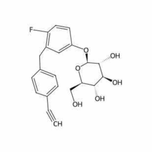 C#Cc1ccc(Cc2cc(O[C@@H]3O[C@H](CO)[C@@H](O)[C@H](O)[C@H]3O)ccc2F)cc1